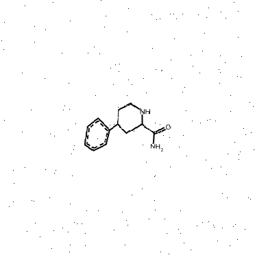 NC(=O)C1CC(c2ccccc2)CCN1